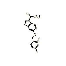 CCC(C(=O)O)c1csc2cc(OCc3ccc(I)cc3Cl)ccc12